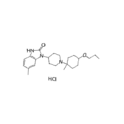 CCCOC1CCC(C)(N2CCC(n3c(=O)[nH]c4ccc(C)cc43)CC2)CC1.Cl